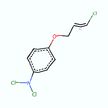 Cl/C=C/COc1ccc(N(Cl)Cl)cc1